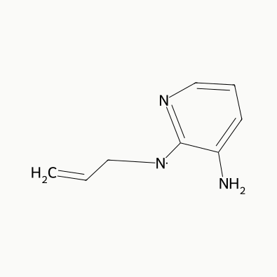 C=CC[N]c1ncccc1N